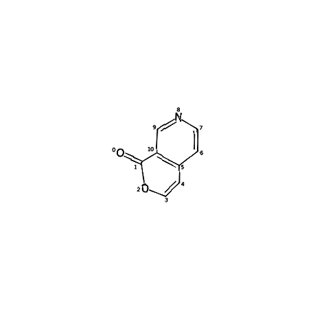 O=c1occc2ccncc12